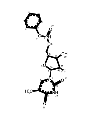 Cc1cn([C@H]2O[C@@H](CO[PH](=O)Oc3ccccc3)C(O)[C@H]2F)c(=O)[nH]c1=O